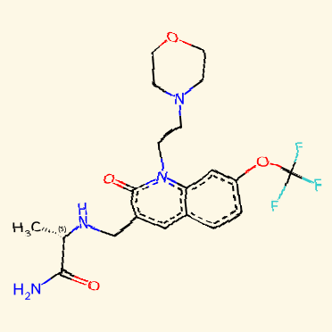 C[C@H](NCc1cc2ccc(OC(F)(F)F)cc2n(CCN2CCOCC2)c1=O)C(N)=O